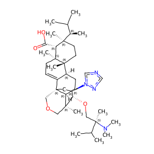 CC(C)[C@@H](C)[C@@]1(C)CC[C@]2(C)[C@H]3CC[C@@H]4[C@@]5(COC[C@]4(C)[C@@H](OC[C@](C)(C(C)C)N(C)C)[C@H](n4cncn4)C5)C3=CC[C@@]2(C)[C@@H]1C(=O)O